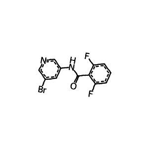 O=C(Nc1cncc(Br)c1)c1c(F)cccc1F